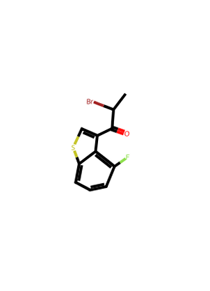 CC(Br)C(=O)c1csc2cccc(F)c12